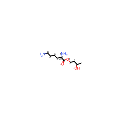 CC(O)CCOC(=O)[C@@H](N)CCCCN